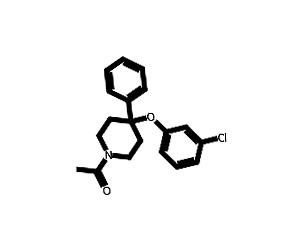 CC(=O)N1CCC(Oc2cccc(Cl)c2)(c2ccccc2)CC1